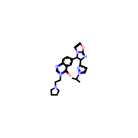 CC(C)n1ccc(C2N=C3OC=CN3C2c2ccc3ncn(CCN4CCCC4)c(=O)c3c2)n1